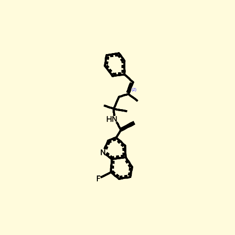 C=C(NC(C)(C)C/C(C)=C\c1ccccc1)c1cnc2c(F)cccc2c1